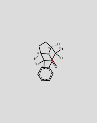 [2H]C1([2H])C(=O)C([2H])([2H])[C@H]2CC[C@@H]1N2Cc1ccccc1